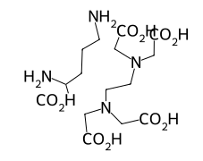 NCCCC(N)C(=O)O.O=C(O)CN(CCN(CC(=O)O)CC(=O)O)CC(=O)O